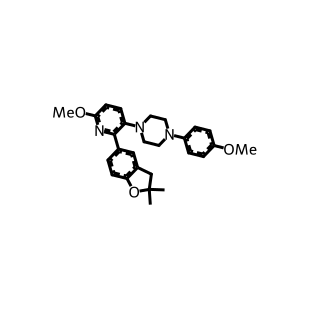 COc1ccc(N2CCN(c3ccc(OC)nc3-c3ccc4c(c3)CC(C)(C)O4)CC2)cc1